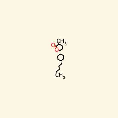 CCCCC[C@H]1CC[C@H](C2CCC(C)C(=O)O2)CC1